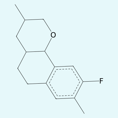 Cc1cc2c(cc1F)C1OCC(C)CC1CC2